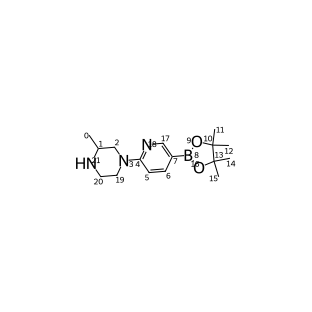 CC1CN(c2ccc(B3OC(C)(C)C(C)(C)O3)cn2)CCN1